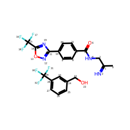 CC(=N)CNC(=O)c1ccc(-c2noc(C(F)(F)F)n2)cc1.OCc1cccc(C(F)(F)F)c1